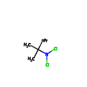 CCCC(C)(C)N(Cl)Cl